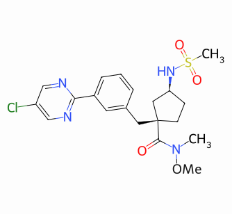 CON(C)C(=O)[C@@]1(Cc2cccc(-c3ncc(Cl)cn3)c2)CC[C@H](NS(C)(=O)=O)C1